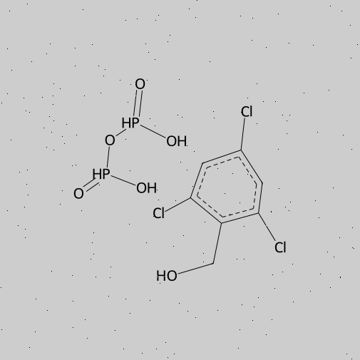 O=[PH](O)O[PH](=O)O.OCc1c(Cl)cc(Cl)cc1Cl